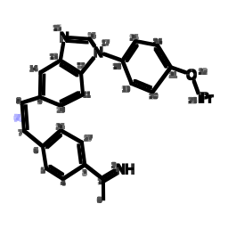 CC(=N)c1ccc(/C=C\c2ccc3c(c2)ncn3-c2ccc(OC(C)C)cc2)cc1